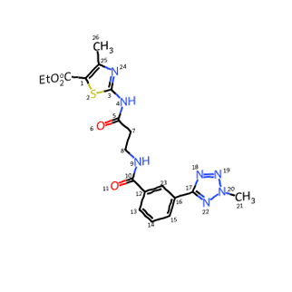 CCOC(=O)c1sc(NC(=O)CCNC(=O)c2cccc(-c3nnn(C)n3)c2)nc1C